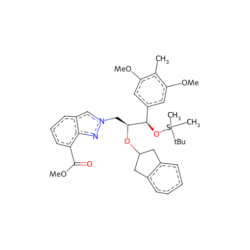 COC(=O)c1cccc2cn(C[C@H](OC3Cc4ccccc4C3)[C@H](O[Si](C)(C)C(C)(C)C)c3cc(OC)c(C)c(OC)c3)nc12